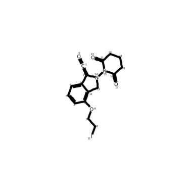 O=C=C1c2cccc(OCCI)c2CN1N1C(=O)CCCC1=O